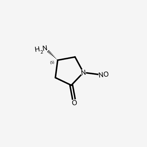 N[C@H]1CC(=O)N(N=O)C1